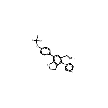 NCc1cc(-c2ccc(OC(F)(F)F)cc2)c2c(c1-n1ccnc1)CCO2